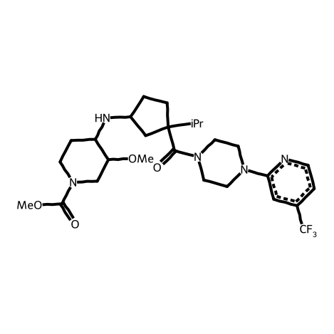 COC(=O)N1CCC(NC2CCC(C(=O)N3CCN(c4cc(C(F)(F)F)ccn4)CC3)(C(C)C)C2)C(OC)C1